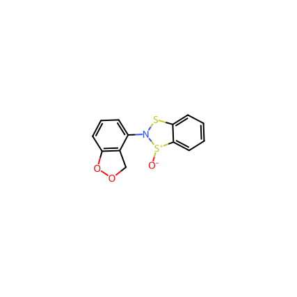 [O-][S+]1c2ccccc2SN1c1cccc2c1COO2